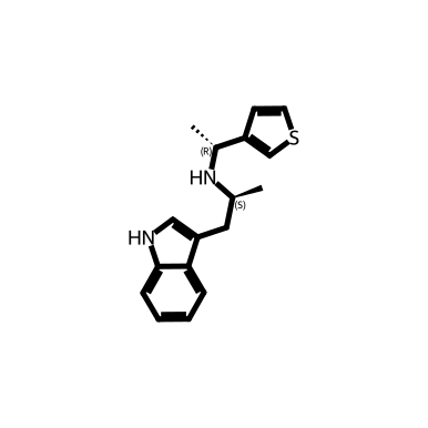 C[C@@H](Cc1c[nH]c2ccccc12)N[C@H](C)c1ccsc1